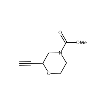 C#CC1CN(C(=O)OC)CCO1